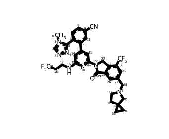 Cn1cnnc1-c1ccc(C#N)cc1-c1cc(NCCC(F)(F)F)nc(N2Cc3c(cc(CN4CCC5(CC5)C4)cc3C(F)(F)F)C2=O)c1